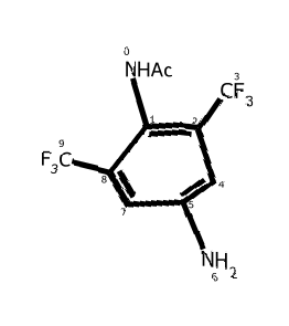 CC(=O)Nc1c(C(F)(F)F)cc(N)cc1C(F)(F)F